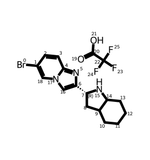 Brc1ccc2nc([C@H]3CC4CCCCC4N3)cn2c1.O=C(O)C(F)(F)F